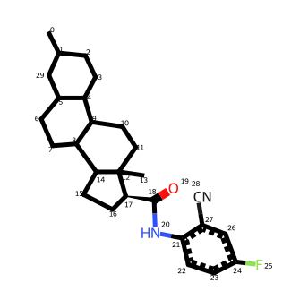 CC1CCC2C(CCC3C2CCC2(C)C3CC[C@@H]2C(=O)Nc2ccc(F)cc2C#N)C1